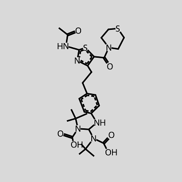 CC(=O)Nc1nc(CCc2ccc(NC(N(C(=O)O)C(C)(C)C)N(C(=O)O)C(C)(C)C)cc2)c(C(=O)N2CCSCC2)s1